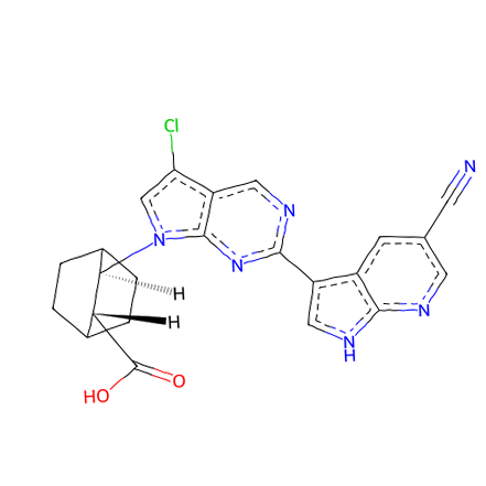 N#Cc1cnc2[nH]cc(-c3ncc4c(Cl)cn([C@@H]5C6CCC(CC6)[C@H]5C(=O)O)c4n3)c2c1